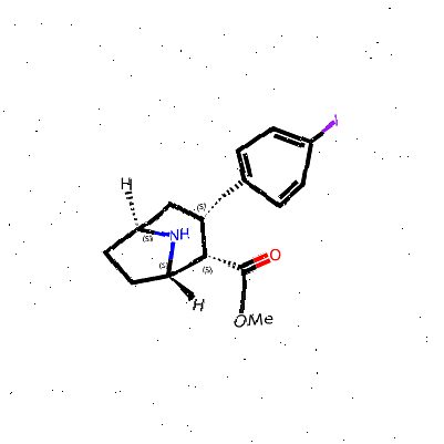 COC(=O)[C@@H]1[C@@H]2CC[C@@H](C[C@@H]1c1ccc(I)cc1)N2